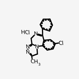 CC1=NN=C2CN=C(c3ccccc3)c3cc(Cl)ccc3N2C1.Cl